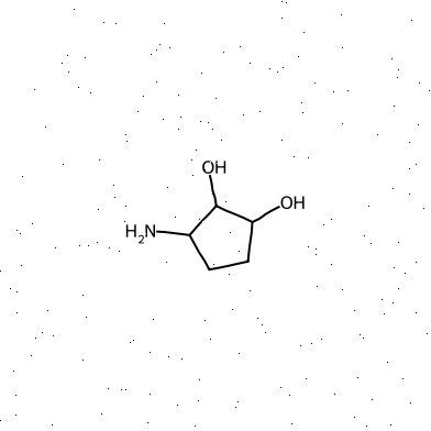 NC1CCC(O)C1O